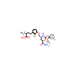 CC(CCc1cccc(OC[C@H](CCC(N)=O)NC(=O)OC(C)(C)C)c1Cl)C(=O)O